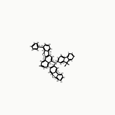 CC1(C)c2ccccc2-c2ccc(N(c3ccc4oc5ccccc5c4c3)c3cc4c5cccc(-c6ccccc6)c5oc4c4ccccc34)cc21